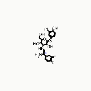 N#Cc1ccc(SC2OC(CO)C(O)C(N/C=C(\N)c3ccc(F)c(F)c3)C2O)cc1Cl